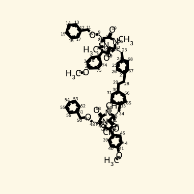 COc1ccc(C2S[C@@]3(COCc4ccccc4)C(=O)N(C)[C@@](Cc4ccc(CCc5ccc(C[C@@]67SC(c8ccc(OC)cc8)S[C@@](COCc8ccccc8)(C(=O)N6C)N(C)C7=O)cc5)cc4)(S2)C(=O)N3C)cc1